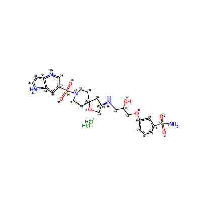 Cl.Cl.NS(=O)(=O)c1cccc(OCC(O)CN[C@H]2COC3(CCN(S(=O)(=O)c4cnc5cc[nH]c5c4)CC3)C2)c1